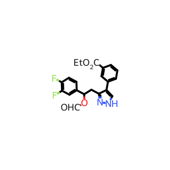 CCOC(=O)c1cccc(-c2c[nH]nc2CC(OC=O)c2ccc(F)c(F)c2)c1